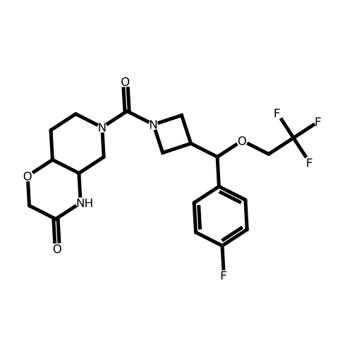 O=C1COC2CCN(C(=O)N3CC(C(OCC(F)(F)F)c4ccc(F)cc4)C3)CC2N1